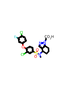 CN(C1CCCc2c1cnn2CC(=O)O)S(=O)(=O)c1ccc(Oc2ccc(Cl)c(F)c2)c(Cl)c1